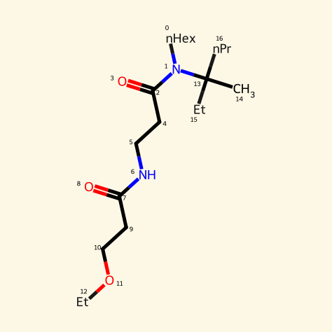 CCCCCCN(C(=O)CCNC(=O)CCOCC)C(C)(CC)CCC